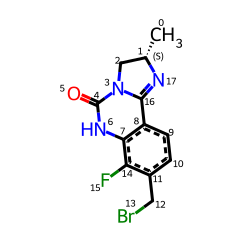 C[C@H]1CN2C(=O)Nc3c(ccc(CBr)c3F)C2=N1